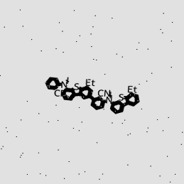 CCc1cc(-c2cccc(N(I)c3cccc4c3sc3c(CC)cccc34)c2C#N)cc2c1sc1c(N(I)c3ccccc3C(F)(F)F)cccc12